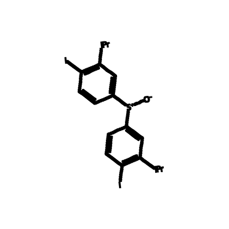 CC(C)c1cc([S+]([O-])c2ccc(I)c(C(C)C)c2)ccc1I